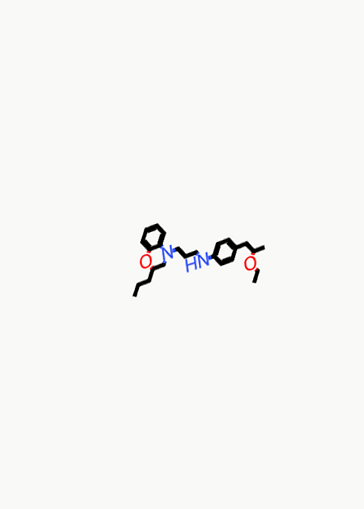 CCCC1CN(CCCNc2ccc(CC(C)OCC)cc2)c2ccccc2O1